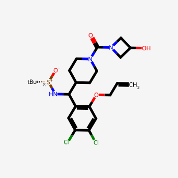 C=CCOc1cc(Cl)c(Cl)cc1C(N[S@@+]([O-])C(C)(C)C)C1CCN(C(=O)N2CC(O)C2)CC1